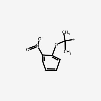 CC(C)(F)Oc1ccccc1[N+](=O)[O-]